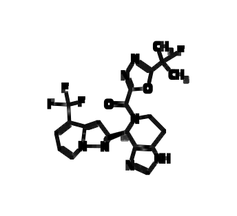 CC(C)(F)c1nnc(C(=O)N2CCc3[nH]cnc3[C@H]2c2cc3c(C(F)(F)F)cccn3n2)o1